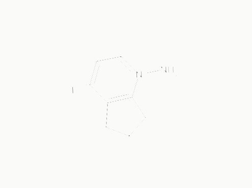 N[n+]1cccc2c1CCC2.[I-]